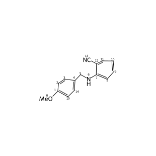 COc1ccc(CNc2ccccc2C#N)cc1